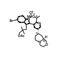 CO[C@@H](C)c1ncc([C@H]2CCN3CCOC[C@@H]3C2)cc1-c1c(CC(C)(C)COC(C)=O)c2cc(Br)ccc2n1CC(F)(F)F